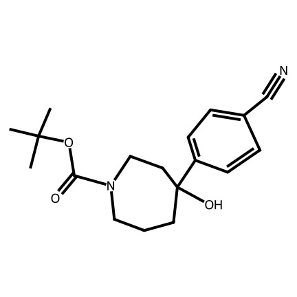 CC(C)(C)OC(=O)N1CCCC(O)(c2ccc(C#N)cc2)CC1